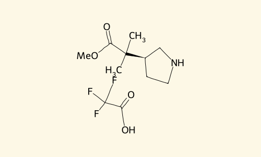 COC(=O)C(C)(C)[C@@H]1CCNC1.O=C(O)C(F)(F)F